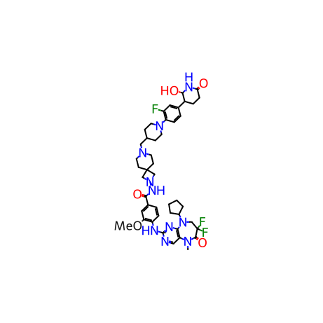 COc1cc(C(=O)NN2CC3(CCN(CC4CCN(c5ccc(C6CCC(=O)NC6O)cc5F)CC4)CC3)C2)ccc1Nc1ncc2c(n1)N(C1CCCC1)CC(F)(F)C(=O)N2C